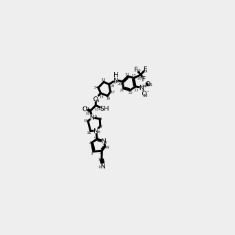 N#Cc1ccc(N2CCN(C(=O)C(S)OC3CCC(Nc4ccc([N+](=O)[O-])c(C(F)(F)F)c4)CC3)CC2)nc1